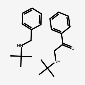 CC(C)(C)NCC(=O)c1ccccc1.CC(C)(C)NCc1ccccc1